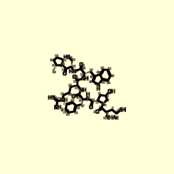 CC(=O)N[C@@H](CCS)C(=O)N1C[C@H](O)C[C@H]1C(=O)N[C@H](Cc1ccccc1)C(=O)N[C@@H](CCCNC(=N)N)C(=O)N[C@@H](Cc1c[nH]c2ccccc12)C(=O)N[C@@H](CS)C(=O)N1CCC[C@H]1C